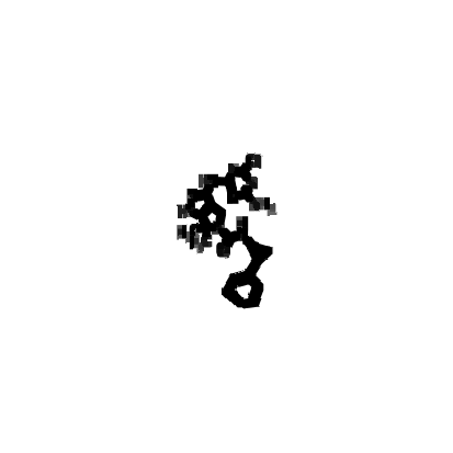 CC1(C)c2[nH]nc(Nc3nc(N)nc(Cl)n3)c2CN1C(=O)NC1CC1c1ccccc1